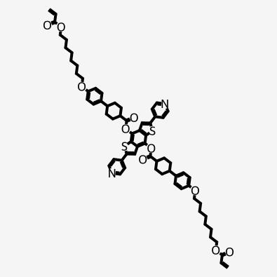 C=CC(=O)OCCCCCCCCOc1ccc(C2CCC(C(=O)Oc3c4cc(-c5ccncc5)sc4c(OC(=O)C4CCC(c5ccc(OCCCCCCCCOC(=O)C=C)cc5)CC4)c4cc(-c5ccncc5)sc34)CC2)cc1